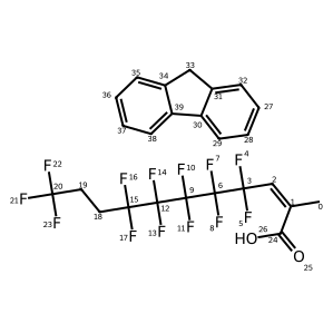 CC(=CC(F)(F)C(F)(F)C(F)(F)C(F)(F)C(F)(F)CCC(F)(F)F)C(=O)O.c1ccc2c(c1)Cc1ccccc1-2